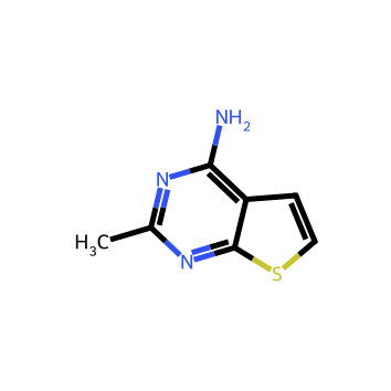 Cc1nc(N)c2ccsc2n1